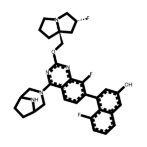 Oc1cc(-c2ccc3c(N4CC5CCC(C4)N5)nc(OC[C@@]45CCCN4C[C@H](F)C5)nc3c2F)c2c(F)cccc2c1